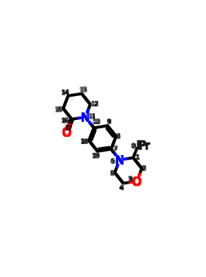 CC(C)C1COCCN1c1ccc(N2CCCCC2=O)cc1